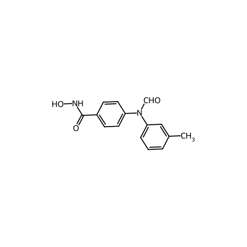 Cc1cccc(N(C=O)c2ccc(C(=O)NO)cc2)c1